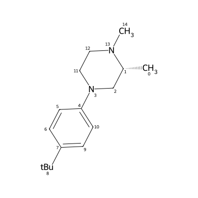 C[C@@H]1CN(c2ccc(C(C)(C)C)cc2)CCN1C